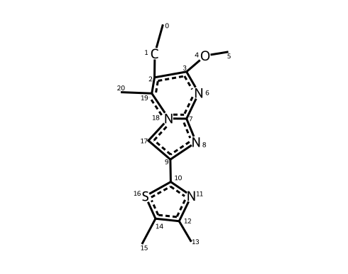 CCc1c(OC)nc2nc(-c3nc(C)c(C)s3)cn2c1C